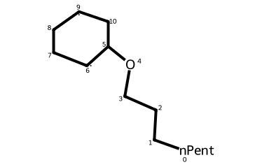 CCCCCCCCOC1[CH]CC[CH]C1